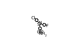 NS(=O)(=O)c1ccc(-c2sc(-c3ccc(Cl)cc3)nc2-c2ccc(F)cc2)cc1